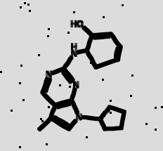 Cc1cn(C2CCCC2)c2nc(NC3CC=CC=C3O)ncc12